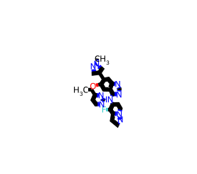 CC(Oc1cc2c(Nc3ccn4nccc4c3F)ncnc2cc1-c1cnn(C)c1)c1ccncn1